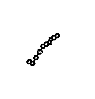 c1ccc2cc3c(cc2c1)sc1c2cc4ccc(-c5ncc(-c6ccc(-c7cccc8ccccc78)cc6)cn5)cc4cc2sc31